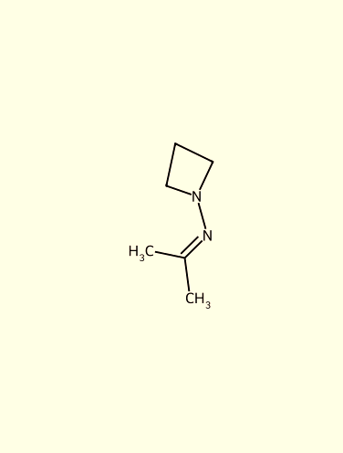 CC(C)=NN1CCC1